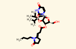 CCCCN1C(=O)CCC1=CCC(=O)O[C@@H]1C(O[Si](C(C)C)(C(C)C)C(C)C)[C@H](n2ccc(=O)[nH]c2=O)O[C@@H]1CO